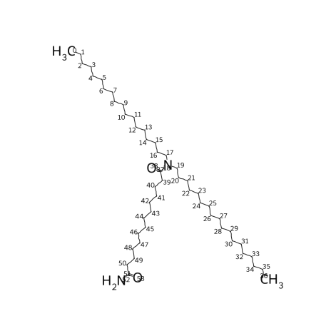 CCCCCCCCCCCCCCCCCCN(CCCCCCCCCCCCCCCCCC)C(=O)CCCCCCCCCCCCC(N)=O